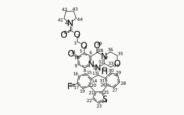 O=C(OCOc1c2n(ccc1=O)N(C1c3ccc(F)cc3-c3ccsc3-c3ccccc31)[C@@H]1COCCN1C2=O)N1CCCC1